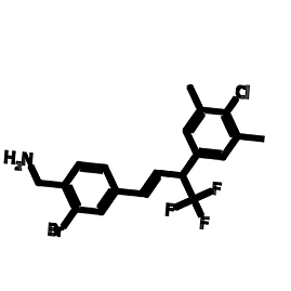 Cc1cc(C(/C=C/c2ccc(CN)c(Br)c2)C(F)(F)F)cc(C)c1Cl